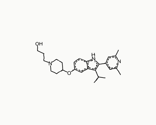 Cc1cc(-c2[nH]c3ccc(OC4CCN(CCCO)CC4)cc3c2C(C)C)cc(C)n1